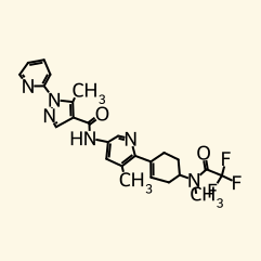 Cc1cc(NC(=O)c2cnn(-c3ccccn3)c2C)cnc1C1=CCC(N(C)C(=O)C(F)(F)F)CC1